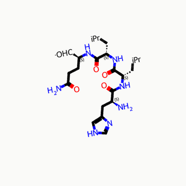 CC(C)C[C@H](NC(=O)[C@H](CC(C)C)NC(=O)[C@@H](N)Cc1c[nH]cn1)C(=O)N[C@H]([C]=O)CCC(N)=O